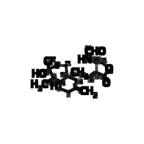 C=C1CC[C@@H]2[C@@H](C)[C@@](O)(C(F)(F)F)CC[C@@]2(C)[C@@H]1C/C=C1/C(=O)OCC1NC=O